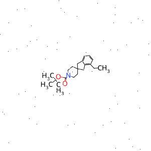 CCc1cccc2c1CC1(CCN(C(=O)OC(C)(C)C)CC1)C2